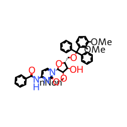 CCCCCCCCCO[C@@H]1[C@H](O)[C@@H](COC(c2ccccc2)(c2ccccc2)c2cccc(OC)c2OC)O[C@H]1n1ccc(NC(=O)c2ccccc2)nc1=O